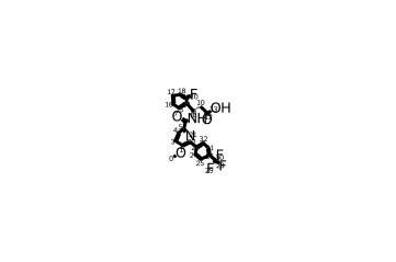 COc1ccc(C(=O)N[C@@H](CC(=O)O)c2ccccc2F)nc1-c1ccc(C(F)(F)F)cc1